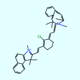 C\C1=C/C=c2/cccc/c2=C\C(C)(C)/C(=C\C=C2/CCCC(/C=C/C3=[N+](C)c4ccc5ccccc5c4C3(C)C)=C2Cl)N1C